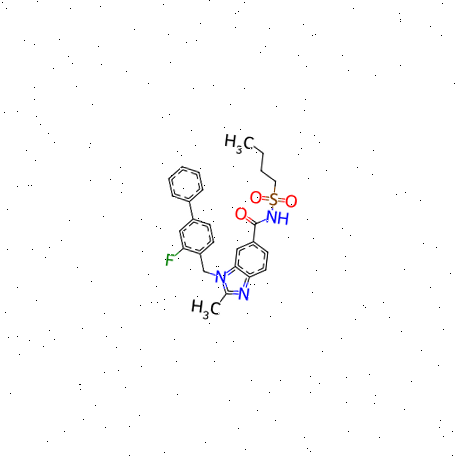 CCCCS(=O)(=O)NC(=O)c1ccc2nc(C)n(Cc3ccc(-c4ccccc4)cc3F)c2c1